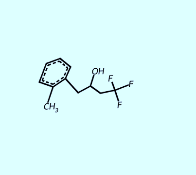 Cc1ccccc1CC(O)CC(F)(F)F